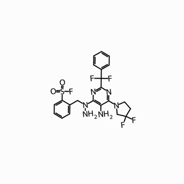 Nc1c(N(N)Cc2ccccc2S(=O)(=O)F)nc(C(F)(F)c2ccccc2)nc1N1CCC(F)(F)C1